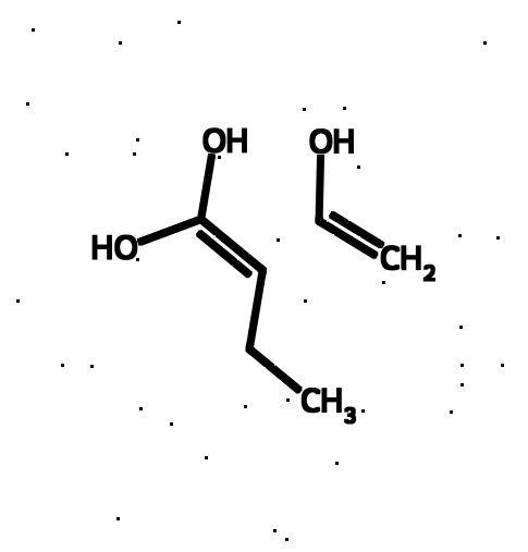 C=CO.CCC=C(O)O